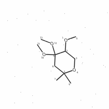 COC1COC(C)(C)CC1(OC)OC